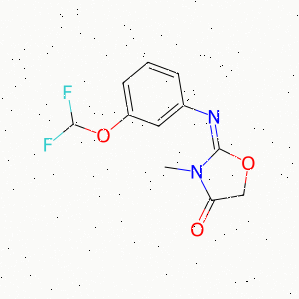 CN1C(=O)COC1=Nc1cccc(OC(F)F)c1